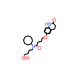 O=C1CCc2cc(OCCCC(=O)N(CCCCO)C3CCCCCCC3)ccc2N1